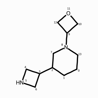 C1CC(C2CNC2)CN(C2COC2)C1